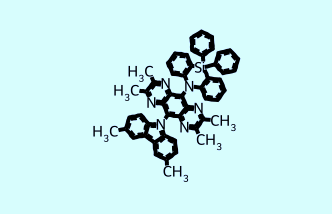 Cc1ccc2c(c1)c1cc(C)ccc1n2-c1c2nc(C)c(C)nc2c(N2c3ccccc3[Si](c3ccccc3)(c3ccccc3)c3ccccc32)c2nc(C)c(C)nc12